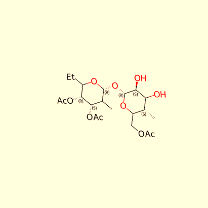 CCC1O[C@H](O[C@H]2OC(COC(C)=O)[C@@H](C)C(O)[C@@H]2O)C(C)[C@H](OC(C)=O)[C@@H]1OC(C)=O